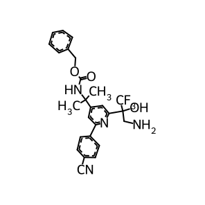 CC(C)(NC(=O)OCc1ccccc1)c1cc(-c2ccc(C#N)cc2)nc(C(O)(CN)C(F)(F)F)c1